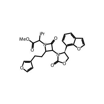 COC(=O)C(C(C)C)N1C(=O)C(N2C(=O)OC[C@@H]2c2cccc3ccoc23)C1CCc1ccoc1